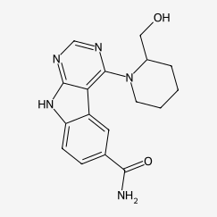 NC(=O)c1ccc2[nH]c3ncnc(N4CCCCC4CO)c3c2c1